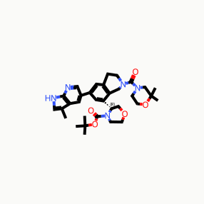 Cc1c[nH]c2ncc(-c3cc4c(c([C@@H]5COCCN5C(=O)OC(C)(C)C)c3)CN(C(=O)N3CCOC(C)(C)C3)CC4)cc12